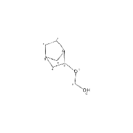 OCOC1CC2CCC1C2